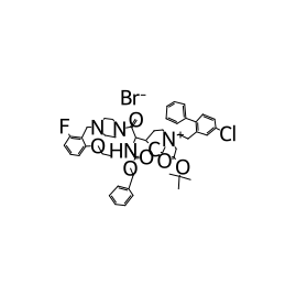 CCOc1cccc(F)c1CN1CCN(C(=O)C(NC(=O)OCc2ccccc2)C2CC[N+](CCc3cc(Cl)ccc3-c3ccccc3)(CC(=O)OC(C)(C)C)CC2)CC1.[Br-]